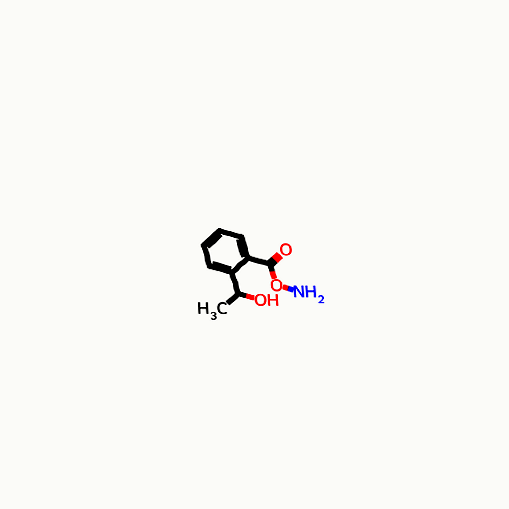 CC(O)c1ccccc1C(=O)ON